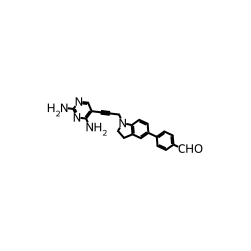 Nc1ncc(C#CCN2CCc3cc(-c4ccc(C=O)cc4)ccc32)c(N)n1